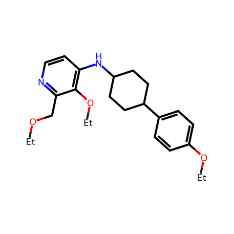 CCOCc1nccc(NC2CCC(c3ccc(OCC)cc3)CC2)c1OCC